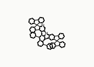 c1ccc(-c2cccc3c(-c4ccccc4)c4c5c6c(ncc5n5c7cc8c(cc7c(c23)c45)C2(c3ccccc3-c3ccccc32)c2ccccc2-8)C2(c3ccccc3-c3ccccc32)c2ccccc2-6)cc1